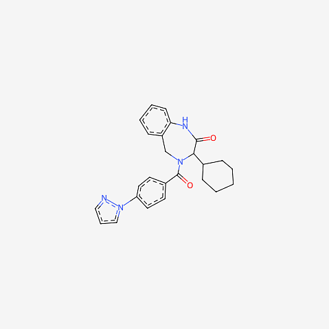 O=C1Nc2ccccc2CN(C(=O)c2ccc(-n3cccn3)cc2)C1C1CCCCC1